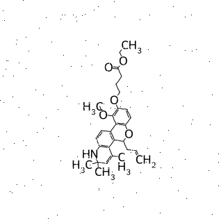 C=CCC1Oc2ccc(OCCCC(=O)OCC)c(OC)c2-c2ccc3c(c21)C(C)=CC(C)(C)N3